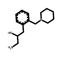 NCC(O)Cc1ccccc1CN1CCCCC1